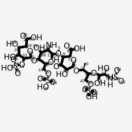 C[C@H](OC1OC(C(=O)O)C(OC2OC(COS(=O)(=O)O)C(OC3OC(C(=O)O)C(O)C(O)C3OS(=O)(=O)O)C(O)C2N)C(O)C1O)C(COS(=O)(=O)O)OC(O)[C@H](O)N[SH](=O)=O